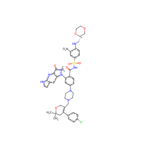 Cn1c(=O)c2nc3[nH]ccc3cc2n1-c1cc(N2CCN(CC3=C(c4ccc(Cl)cc4)CC(C)(C)OC3)CC2)ccc1C(=O)NS(=O)(=O)c1ccc(NC[C@H]2COCCO2)c([N+](=O)[O-])c1